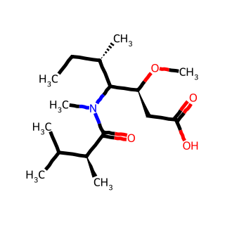 CC[C@H](C)C([C@H](CC(=O)O)OC)N(C)C(=O)[C@@H](C)C(C)C